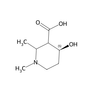 CC1C(C(=O)O)[C@@H](O)CCN1C